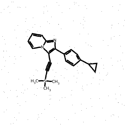 CS(C)(C)C#Cc1c(-c2ccc(C3CC3)cc2)nc2ccccn12